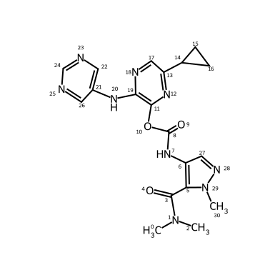 CN(C)C(=O)c1c(NC(=O)Oc2nc(C3CC3)cnc2Nc2cncnc2)cnn1C